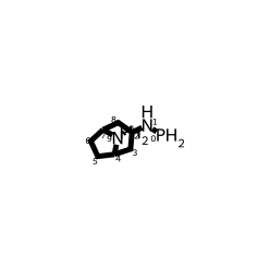 PNC1CC2CCC(C1)N2P